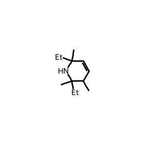 CCC1(C)C=CC(C)C(C)(CC)N1